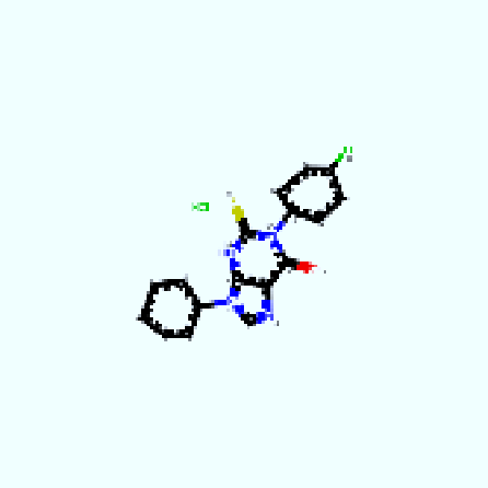 Cl.O=c1c2ncn(-c3ccccc3)c2[nH]c(=S)n1-c1ccc(Cl)cc1